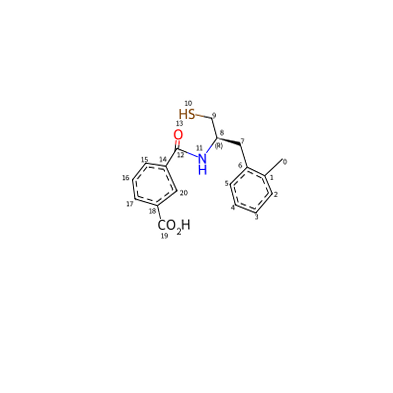 Cc1ccccc1C[C@H](CS)NC(=O)c1cccc(C(=O)O)c1